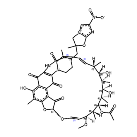 CO[C@H]1/C=C/O[C@@]2(C)Oc3c(C)c(O)c4c(c3C2=O)C(=O)C(N2CCN(CC3(C)Cn5cc([N+](=O)[O-])nc5O3)CC2)=C(NC(=O)/C(C)=C\C=C\[C@H](C)[C@H](O)[C@@H](C)[C@@H](O)[C@@H](C)[C@H](OC(C)=O)[C@@H]1C)C4=O